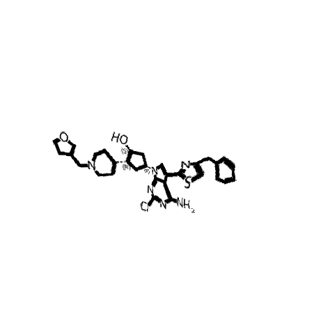 Nc1nc(Cl)nc2c1c(-c1nc(Cc3ccccc3)cs1)cn2[C@@H]1C[C@H](C2CCN(CC3CCOC3)CC2)[C@@H](O)C1